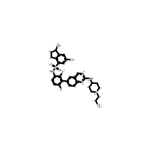 O=S(=O)(Nc1ccc(F)c(-c2ccc3nc(NC4CCN(CCC(F)(F)F)CC4)ncc3c2)c1F)c1cc(Cl)cc2c1CCC2O